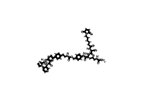 CC(C)c1nccn1-c1ccncc1NC(=O)c1nc(-c2ccc(CCNC(=O)OCc3ccc(NC(=O)[C@H](CCCNC(N)=O)NC(=O)C(NC(=O)CCCCCN4C(=O)C=CC4=O)C(C)C)cc3)cc2)cnc1N